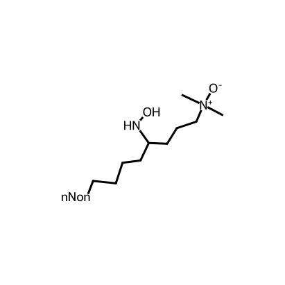 CCCCCCCCCCCCCC(CCC[N+](C)(C)[O-])NO